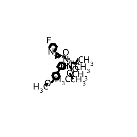 CC[C@H](C)[C@@H](CN(C(=O)[C@@H]1C[C@H]1c1ccc(F)cn1)c1ccc(-c2ccc(COC)cc2)cc1)NC(=O)OC(C)(C)C